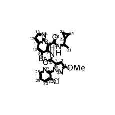 COc1cc(C(=O)Nc2c(Br)cc3ccnn3c2C(=O)NC(C)C2CC2)n(-c2ncccc2Cl)n1